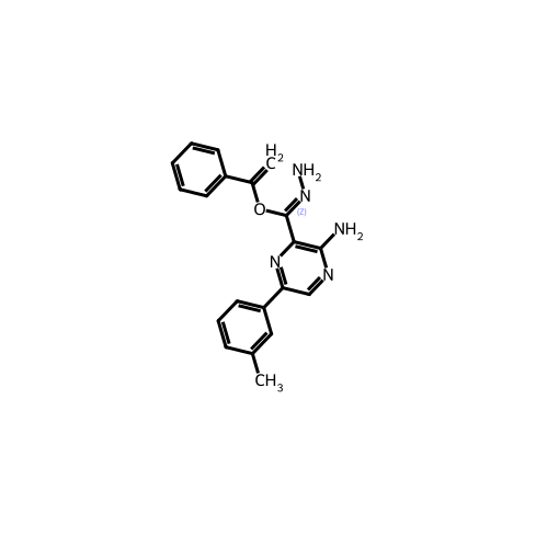 C=C(O/C(=N\N)c1nc(-c2cccc(C)c2)cnc1N)c1ccccc1